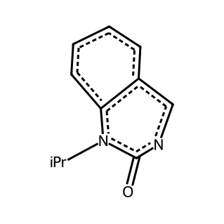 CC(C)n1c(=O)ncc2ccccc21